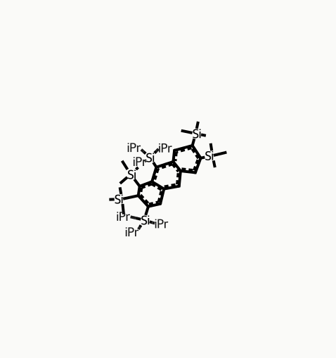 CC(C)[Si](c1cc2cc3cc([Si](C)(C)C)c([Si](C)(C)C)cc3c([Si](C(C)C)(C(C)C)C(C)C)c2c([Si](C)(C)C)c1[Si](C)(C)C)(C(C)C)C(C)C